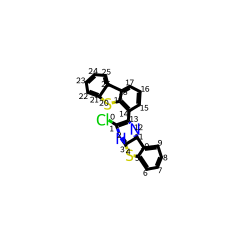 Clc1nc2sc3ccccc3c2nc1-c1cccc2c1sc1ccccc12